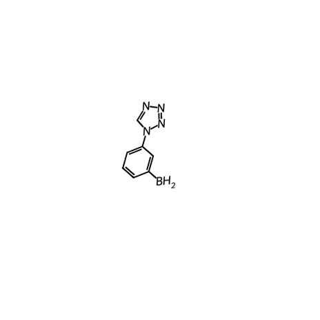 Bc1cccc(-n2cnnn2)c1